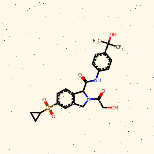 O=C(Nc1ccc(C(O)(C(F)(F)F)C(F)(F)F)cc1)C1c2ccc(S(=O)(=O)C3CC3)cc2CN1C(=O)CO